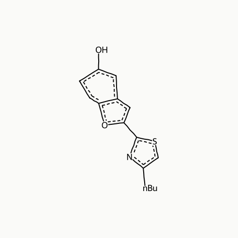 CCCCc1csc(-c2cc3cc(O)ccc3o2)n1